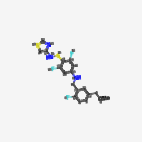 COCc1ccc(F)c(CNc2cc(F)c(SNc3cscn3)c(F)c2)c1